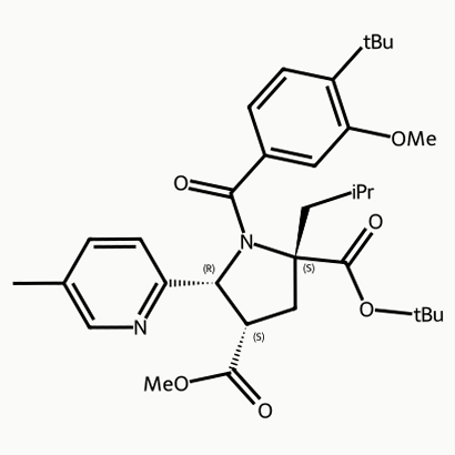 COC(=O)[C@H]1C[C@@](CC(C)C)(C(=O)OC(C)(C)C)N(C(=O)c2ccc(C(C)(C)C)c(OC)c2)[C@H]1c1ccc(C)cn1